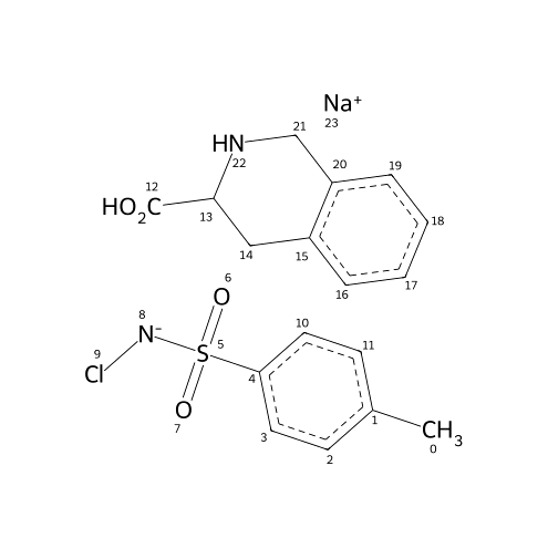 Cc1ccc(S(=O)(=O)[N-]Cl)cc1.O=C(O)C1Cc2ccccc2CN1.[Na+]